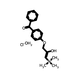 C[N+](C)(C)C=C(O)COc1ccc(C(=O)c2ccccc2)cc1.O.[Cl-]